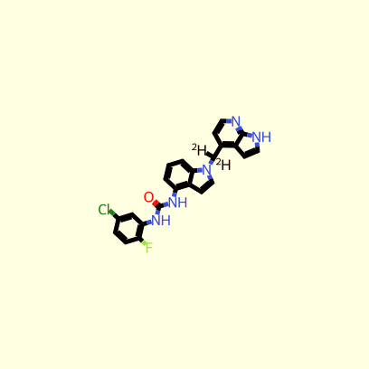 [2H]C([2H])(c1ccnc2[nH]ccc12)n1ccc2c(NC(=O)Nc3cc(Cl)ccc3F)cccc21